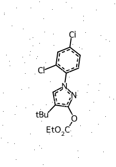 CCOC(=O)Oc1nn(-c2ccc(Cl)cc2Cl)cc1C(C)(C)C